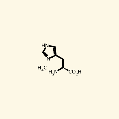 C.N[C@@H](Cc1c[nH]cn1)C(=O)O